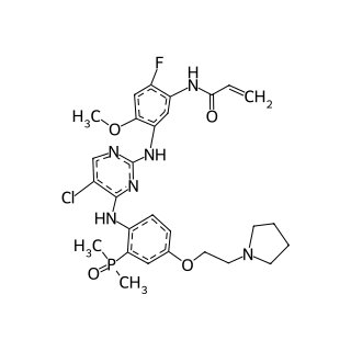 C=CC(=O)Nc1cc(Nc2ncc(Cl)c(Nc3ccc(OCCN4CCCC4)cc3P(C)(C)=O)n2)c(OC)cc1F